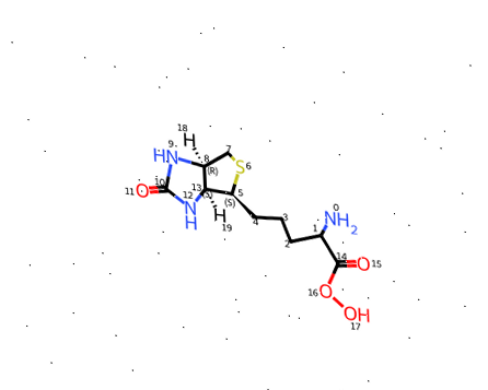 NC(CCC[C@@H]1SC[C@@H]2NC(=O)N[C@@H]21)C(=O)OO